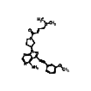 COc1cccc(C#Cc2nn(C3CCN(C(=O)/C=C/CN(C)C)C3)c3ncnc(N)c23)c1